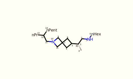 CCCCCCNC[C@H](C)C1CC2(C1)CN(CC(CCC)CCCCC)C2